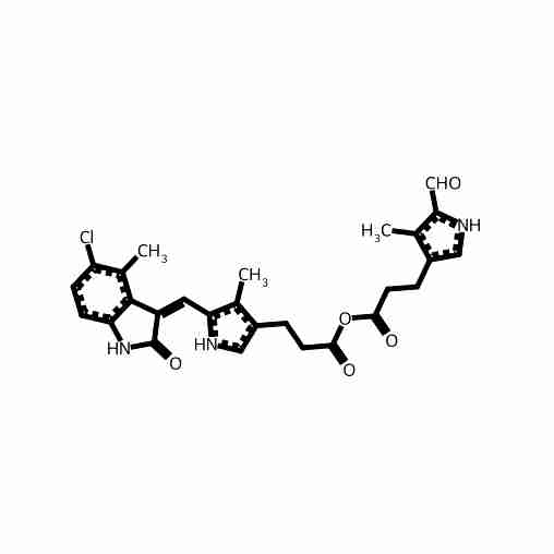 Cc1c(CCC(=O)OC(=O)CCc2c[nH]c(C=C3C(=O)Nc4ccc(Cl)c(C)c43)c2C)c[nH]c1C=O